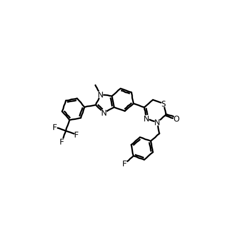 Cn1c(-c2cccc(C(F)(F)F)c2)nc2cc(C3=NN(Cc4ccc(F)cc4)C(=O)SC3)ccc21